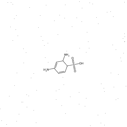 NC1=CC(N)[C](S(=O)(=O)O)C=C1